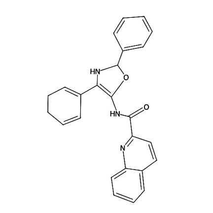 O=C(NC1=C(C2=CCCC=C2)NC(c2ccccc2)O1)c1ccc2ccccc2n1